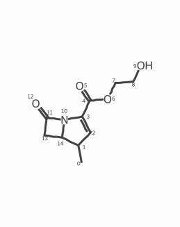 CC1C=C(C(=O)OCCO)N2C(=O)CC12